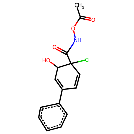 CC(=O)ONC(=O)C1(Cl)C=CC(c2ccccc2)=CC1O